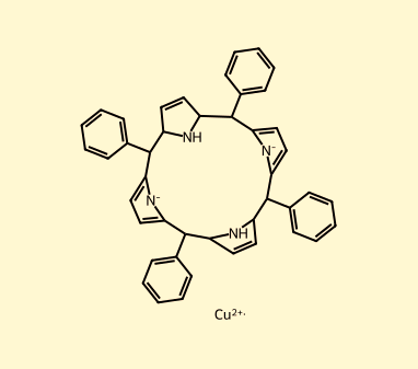 C1=CC2NC1C(c1ccccc1)c1ccc([n-]1)C(c1ccccc1)C1C=CC(N1)C(c1ccccc1)c1ccc([n-]1)C2c1ccccc1.[Cu+2]